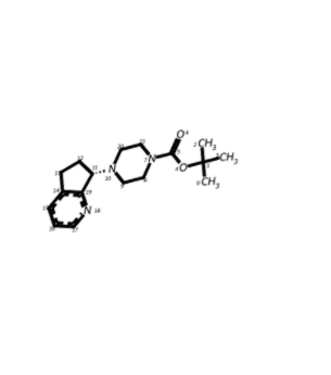 CC(C)(C)OC(=O)N1CCN([C@H]2CCc3cccnc32)CC1